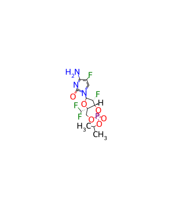 CC(C)OP1(=O)OC[C@@]2(C(F)F)O[C@@H](n3cc(F)c(N)nc3=O)[C@H](F)[C@@H]2O1